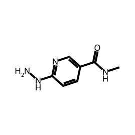 CNC(=O)c1ccc(NN)nc1